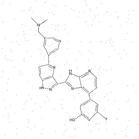 CN(C)Cc1cncc(-c2ccc3[nH]nc(-c4nc5c(-c6cc(O)cc(F)c6)ccnc5[nH]4)c3n2)c1